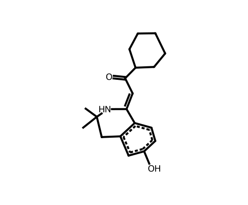 CC1(C)Cc2cc(O)ccc2C(=CC(=O)C2CCCCC2)N1